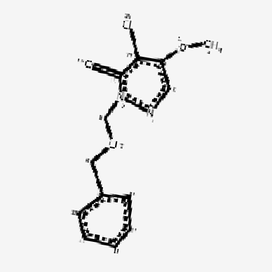 COc1cnn(COCc2ccccc2)c(=O)c1Cl